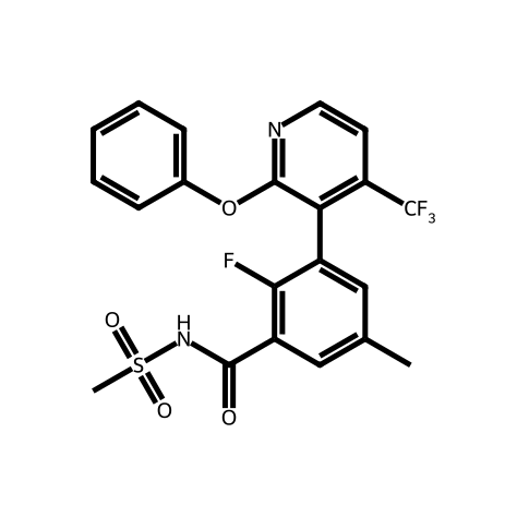 Cc1cc(C(=O)NS(C)(=O)=O)c(F)c(-c2c(C(F)(F)F)ccnc2Oc2ccccc2)c1